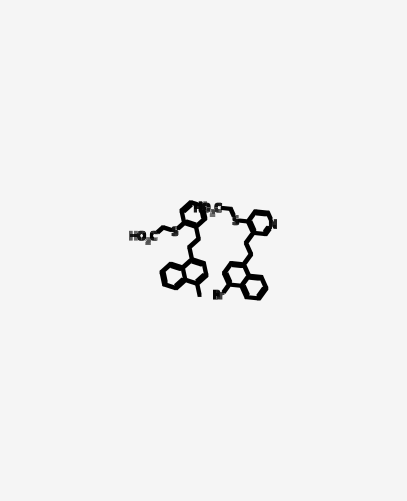 Cc1ccc(CCc2cnccc2SCC(=O)O)c2ccccc12.O=C(O)CSc1ccncc1CCc1ccc(Br)c2ccccc12